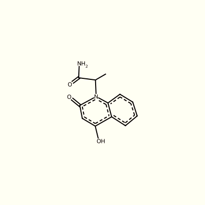 CC(C(N)=O)n1c(=O)cc(O)c2ccccc21